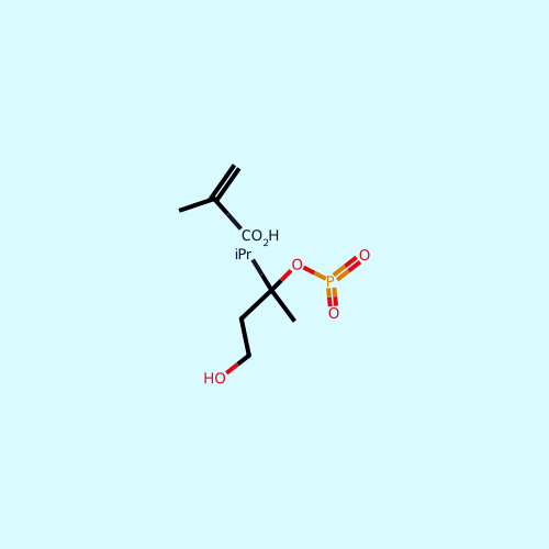 C=C(C)C(=O)O.CC(C)C(C)(CCO)OP(=O)=O